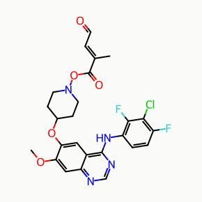 COc1cc2ncnc(Nc3ccc(F)c(Cl)c3F)c2cc1OC1CCN(OC(=O)C(C)=CC=O)CC1